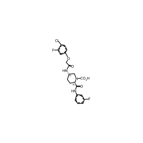 O=C(COc1ccc(Cl)c(F)c1)N[C@H]1CC[C@H](C(=O)Nc2cccc(F)c2)N(C(=O)O)C1